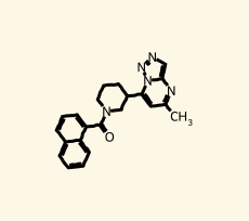 Cc1cc(C2CCCN(C(=O)c3cccc4ccccc34)C2)n2nncc2n1